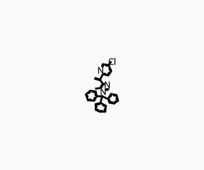 C=C(c1ccc(Cl)cn1)c1ncn(C(c2ccccc2)(c2ccccc2)c2ccccc2)c1C